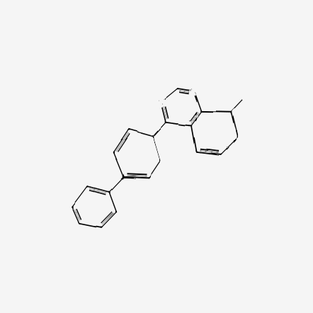 CC1CC=Cc2c1ncnc2C1C=CC(c2ccccc2)=CC1